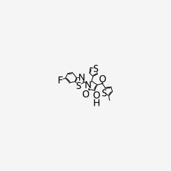 Cc1ccc(C(=O)C2=C(O)C(=O)N(c3nc4ccc(F)cc4s3)C2c2ccsc2)s1